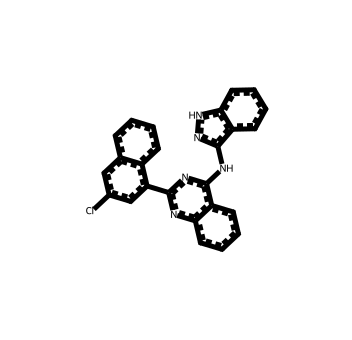 Clc1cc(-c2nc(Nc3n[nH]c4ccccc34)c3ccccc3n2)c2ccccc2c1